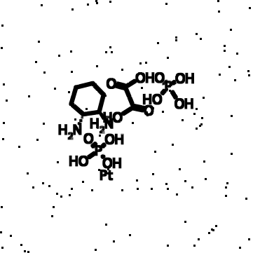 N[C@@H]1CCCC[C@H]1N.O=C(O)C(=O)O.O=P(O)(O)O.O=P(O)(O)O.[Pt]